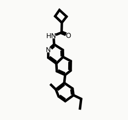 CCc1ccc(C)c(-c2ccc3cc(NC(=O)C4CCC4)ncc3c2)c1